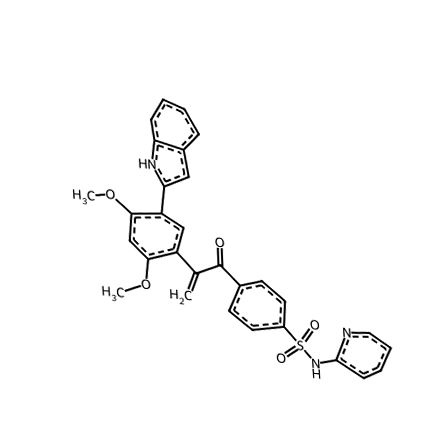 C=C(C(=O)c1ccc(S(=O)(=O)Nc2ccccn2)cc1)c1cc(-c2cc3ccccc3[nH]2)c(OC)cc1OC